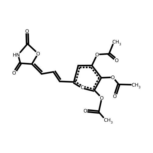 CC(=O)Oc1cc(/C=C/C=C2\OC(=O)NC2=O)cc(OC(C)=O)c1OC(C)=O